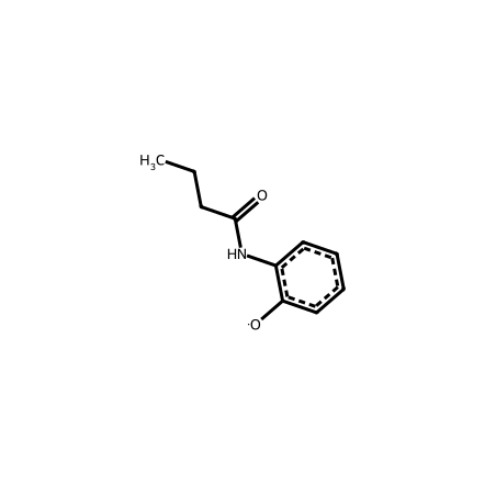 CCCC(=O)Nc1ccccc1[O]